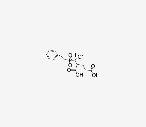 CCC(C(CCC(=O)O)C(=O)O)P(=O)(O)CCc1ccccc1